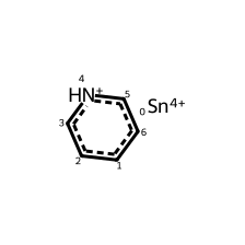 [Sn+4].c1cc[nH+]cc1